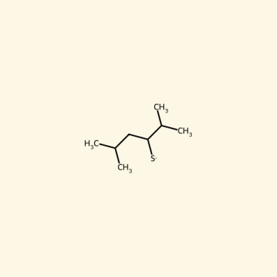 CC(C)CC([S])C(C)C